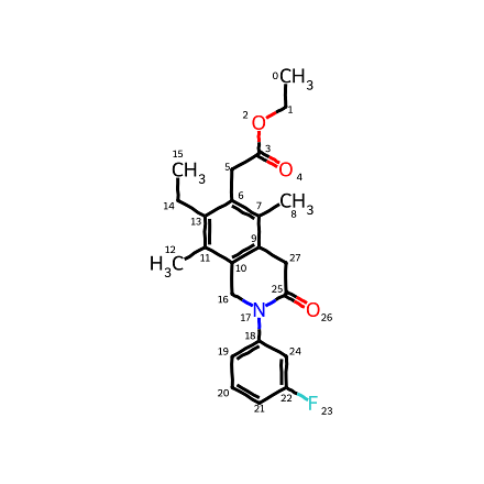 CCOC(=O)Cc1c(C)c2c(c(C)c1CC)CN(c1cccc(F)c1)C(=O)C2